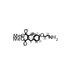 COC(=O)C(Cc1ccc(OCCN)cc1)=C(C(=O)OC)C(C)C